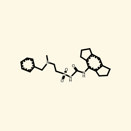 CN(CCS(=O)(=O)NC(=O)Nc1c2c(cc3c1CCC3)CCC2)Cc1ccccc1